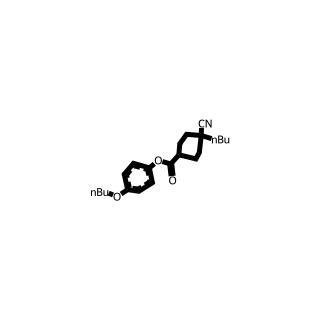 CCCCOc1ccc(OC(=O)C2CCC(C#N)(CCCC)CC2)cc1